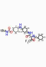 CC(C)(C)NC(=O)OC1CCC(Nc2ccc(NC(=O)c3nc(-c4ccccc4)oc3C(F)(F)F)cc2)CC1